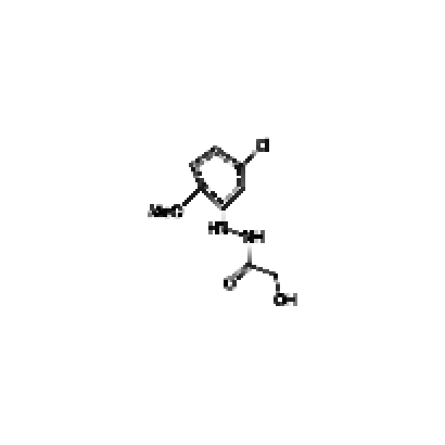 COc1ccc(Cl)cc1NNC(=O)CO